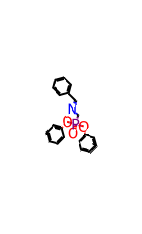 O=P(CN=Cc1ccccc1)(Oc1ccccc1)Oc1ccccc1